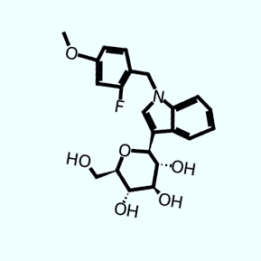 COc1ccc(Cn2cc([C@@H]3O[C@H](CO)[C@@H](O)[C@H](O)[C@H]3O)c3ccccc32)c(F)c1